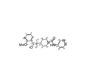 COc1ncccc1[S+]([O-])C(C)(C)C1CCN(C(=O)Nc2ccnnc2)CC1